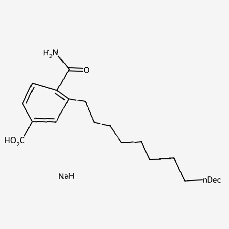 CCCCCCCCCCCCCCCCCCc1cc(C(=O)O)ccc1C(N)=O.[NaH]